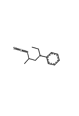 CCN(CC(C)N=C=S)c1ccccc1